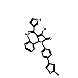 COc1ccccc1C1C(C(=O)c2cc[nH]c2)=C(O)C(=O)N1c1ccc(-c2csc(C)c2)cc1